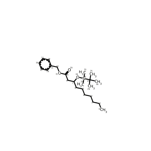 CCCCCCCC(CC(=O)OCc1ccccc1)O[Si](C)(C)C(C)(C)C